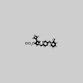 CCOC(=O)c1cn(CC2=CCC(Cn3ccccc3=O)C=N2)nc1C1COC1